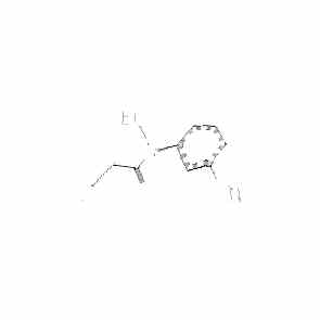 CCN(C(=O)CCl)c1cccc(C#N)c1